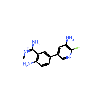 C/N=C(/N)c1cc(-c2cnc(F)c(N)c2)ccc1N